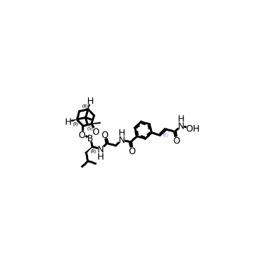 CC(C)C[C@H](NC(=O)CNC(=O)c1cccc(/C=C/C(=O)NO)c1)B1OC2[C@@H]3C[C@H](C[C@]2(C)O1)C3(C)C